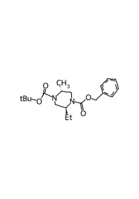 CC[C@H]1CN(C(=O)OC(C)(C)C)[C@H](C)CN1C(=O)OCc1ccccc1